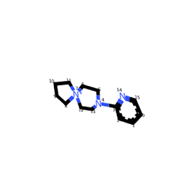 c1ccc(N2CC[N+]3(CCCC3)CC2)nc1